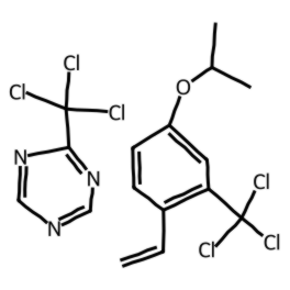 C=Cc1ccc(OC(C)C)cc1C(Cl)(Cl)Cl.ClC(Cl)(Cl)c1ncncn1